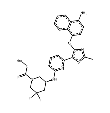 Cc1nc(Oc2ccc(N)c3ccccc23)c(-c2ccnc(N[C@@H]3CN(C(=O)OC(C)(C)C)CC(F)(F)C3)n2)s1